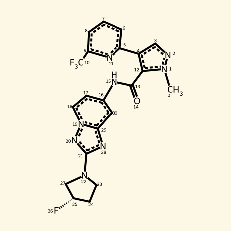 Cn1ncc(-c2cccc(C(F)(F)F)n2)c1C(=O)Nc1ccn2nc(N3CC[C@H](F)C3)nc2c1